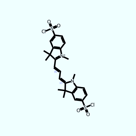 CN1/C(=C\C=C\C2=[N+](C)c3ccc(S(=O)(=O)Cl)cc3C2(C)C)C(C)(C)c2cc(S(=O)(=O)Cl)ccc21